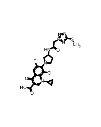 CSc1nnn(CC(=O)NC2CCN(c3c(F)cc4c(=O)c(C(=O)O)cn(C5CC5)c4c3Cl)C2)n1